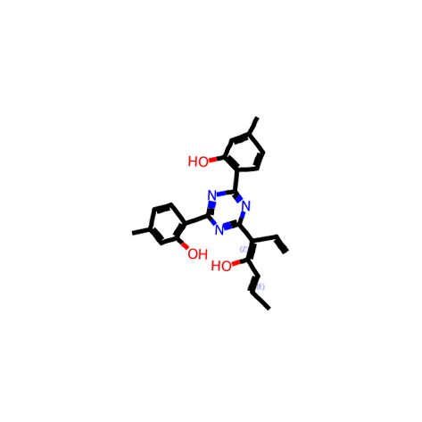 C=C/C(=C(O)\C=C\C)c1nc(-c2ccc(C)cc2O)nc(-c2ccc(C)cc2O)n1